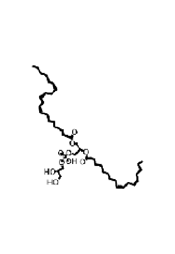 CCCC/C=C\C/C=C\CCCCCCCC(=O)O[C@H](COC(=O)CCCCCC/C=C\C/C=C\C/C=C\CCCCC)COP(=O)(O)OC[C@@H](O)CO